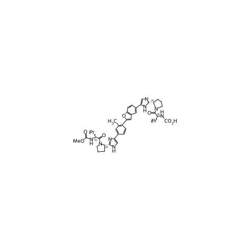 COC(=O)N[C@H](C(=O)N1CCC[C@H]1c1nc(-c2ccc(-c3cc4cc(-c5cnc([C@@H]6CCCN6C(=O)[C@@H](NC(=O)O)C(C)C)[nH]5)ccc4o3)c(C)c2)c[nH]1)C(C)C